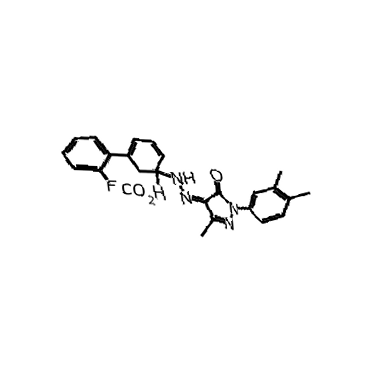 CC1=NN(c2ccc(C)c(C)c2)C(=O)C1=NNC1(C(=O)O)C=CC=C(c2ccccc2F)C1